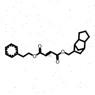 O=C(/C=C/C(=O)OCC1CC2CC1C1CCCC21)OCCc1ccccc1